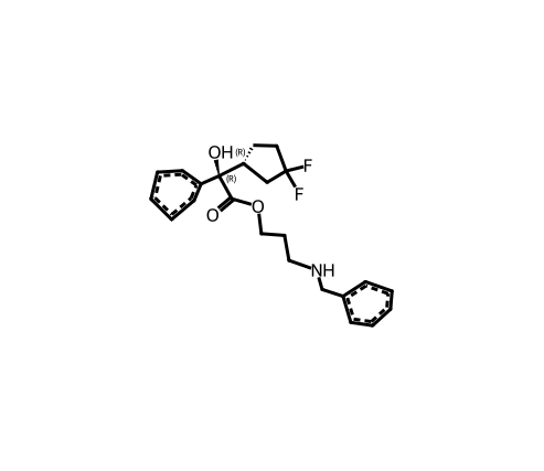 O=C(OCCCNCc1ccccc1)[C@](O)(c1ccccc1)[C@@H]1CCC(F)(F)C1